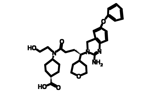 NC1=Nc2ccc(Oc3ccccc3)cc2CN1[C@@H](CCC(=O)N(CCO)[C@H]1CC[C@@H](C(=O)O)CC1)C1CCOCC1